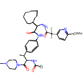 CCC(=O)NC(C(=O)N1CCN(C)CC1)C(C)c1ccc(NC(=O)C(NC(=O)C(F)(F)c2ccc(OC)nc2)C2CCCCCC2)cc1